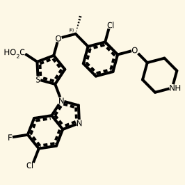 C[C@@H](Oc1cc(-n2cnc3cc(Cl)c(F)cc32)sc1C(=O)O)c1cccc(OC2CCNCC2)c1Cl